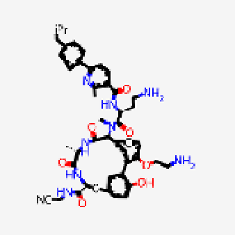 Cc1nc(-c2ccc(CC(C)C)cc2)ccc1C(=O)N[C@@H](CCN)C(=O)N(C)[C@@H]1C(=O)N[C@@H](C)C(=O)N[C@H](C(=O)NCC#N)Cc2ccc(O)c(c2)-c2cc1ccc2OCCN